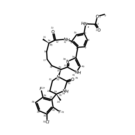 COC(=O)Nc1ccc2c(c1)NC(=O)[C@H](C)CCC[C@H](N1CC[C@@](C)(c3c(F)ccc(Cl)c3F)NC1=O)c1nc-2c[nH]1